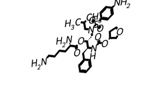 CC(C)CN(C[C@@H](OC(=O)[C@@H](N)CCCCN)[C@H](Cc1ccccc1)NC(=O)O[C@H]1CCOC1)S(=O)(=O)c1ccc(N)cc1